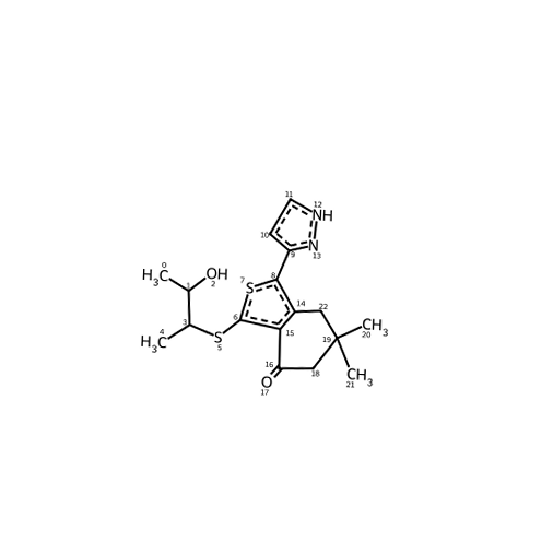 CC(O)C(C)Sc1sc(-c2cc[nH]n2)c2c1C(=O)CC(C)(C)C2